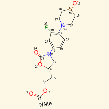 CNC(=O)OCC[C@H]1CN(c2ccc(N3CC[S+]([O-])CC3)c(F)c2)C(=O)O1